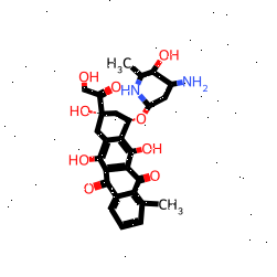 Cc1cccc2c1C(=O)c1c(O)c3c(c(O)c1C2=O)C[C@@](O)(C(=O)CO)C[C@@H]3OC1CC(N)C(O)C(C)N1